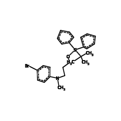 CN(CCCO[Si](c1ccccc1)(c1ccccc1)C(C)(C)C)c1ccc(Br)cc1